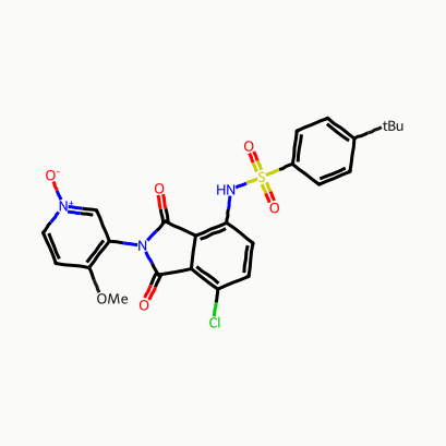 COc1cc[n+]([O-])cc1N1C(=O)c2c(Cl)ccc(NS(=O)(=O)c3ccc(C(C)(C)C)cc3)c2C1=O